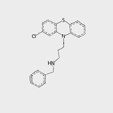 Clc1ccc2c(c1)N(CCCNCc1cc#ccc1)c1ccccc1S2